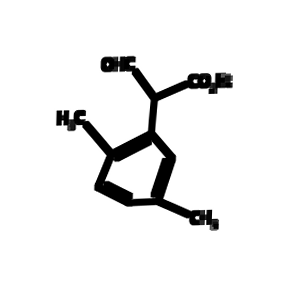 CCOC(=O)C(C=O)c1cc(C)ccc1C